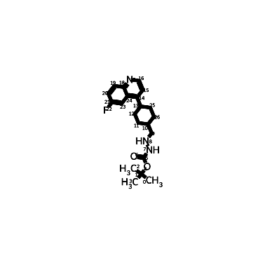 CC(C)(C)OC(=O)NNCC1CCC(c2ccnc3ccc(F)cc23)CC1